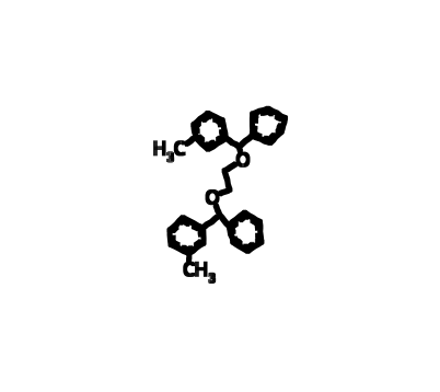 Cc1cccc(C(OCCOC(c2ccccc2)c2cccc(C)c2)c2ccccc2)c1